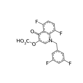 O=C(O)Oc1cn(Cc2cc(F)cc(F)c2)c2c(F)ccc(F)c2c1=O